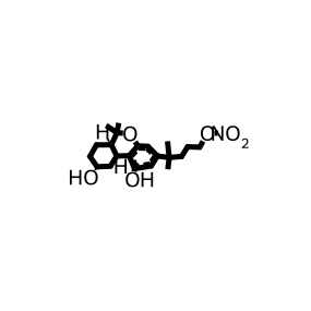 CC(C)(CCCO[N+](=O)[O-])c1cc(O)c2c(c1)OC(C)(C)[C@@H]1CC[C@@H](O)C[C@@H]21